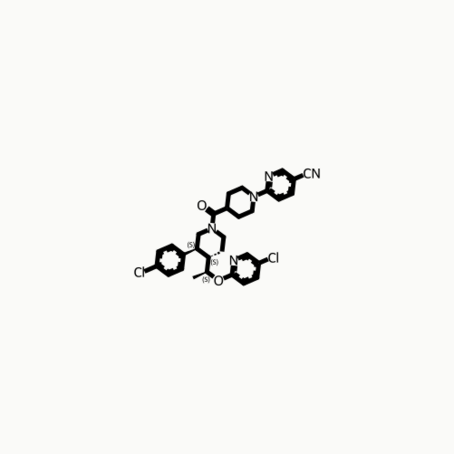 C[C@H](Oc1ccc(Cl)cn1)[C@H]1CCN(C(=O)C2CCN(c3ccc(C#N)cn3)CC2)C[C@@H]1c1ccc(Cl)cc1